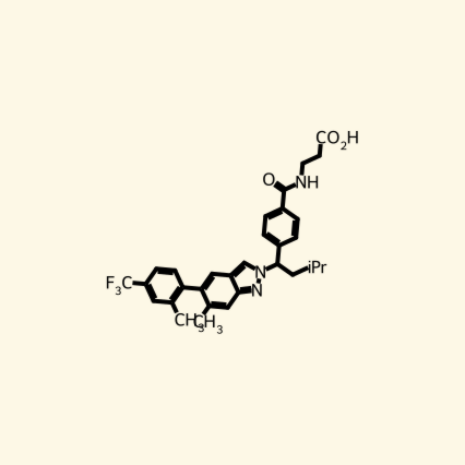 Cc1cc(C(F)(F)F)ccc1-c1cc2cn(C(CC(C)C)c3ccc(C(=O)NCCC(=O)O)cc3)nc2cc1C